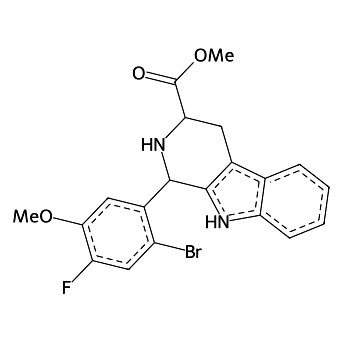 COC(=O)C1Cc2c([nH]c3ccccc23)C(c2cc(OC)c(F)cc2Br)N1